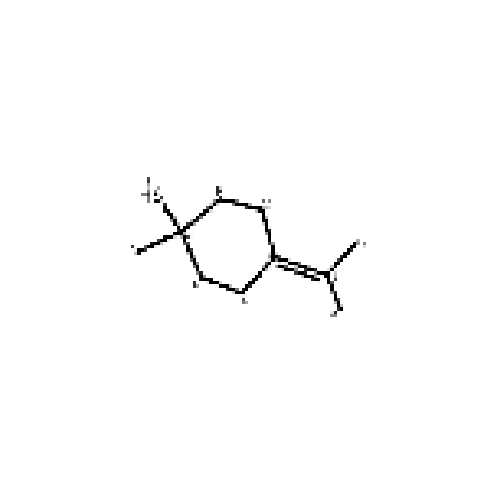 CC(C)=C1CCC(C)(S)CC1